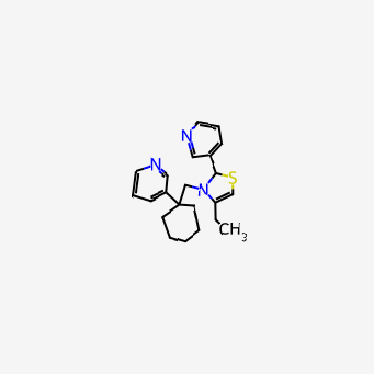 CCC1=CSC(c2cccnc2)N1CC1(c2cccnc2)CCCCC1